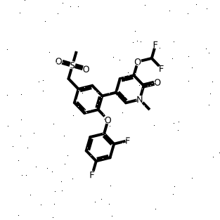 Cn1cc(-c2cc(CS(C)(=O)=O)ccc2Oc2ccc(F)cc2F)cc(OC(F)F)c1=O